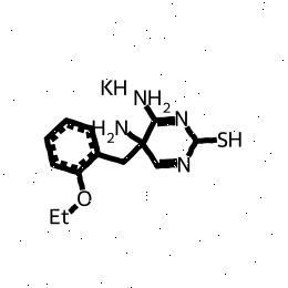 CCOc1ccccc1CC1(N)C=NC(S)N=C1N.[KH]